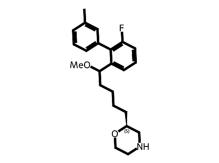 COC(CCCC[C@H]1CNCCO1)c1cccc(F)c1-c1cccc(C)c1